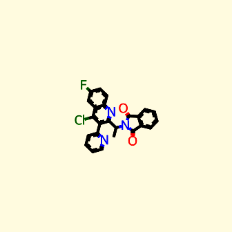 CC(c1nc2ccc(F)cc2c(Cl)c1-c1ccccn1)N1C(=O)c2ccccc2C1=O